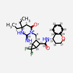 CCC1(CC)CC(=O)N(C[C@H]2C(C(=O)N[C@H]3CCOc4ccccc43)C3C2C3(F)F)C(=N)N1